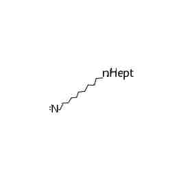 CCCCCCCCCCCCCCCCCC[N]